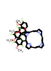 COc1c(F)ccc(-c2c(-c3ccc(F)c(OC)c3F)c3c(-c4ccc(F)c(OC)c4F)c4nc(cc5ccc(cc6nc(cc2n3-c2ccc(F)c(OC)c2F)C=C6)[nH]5)C=C4)c1F